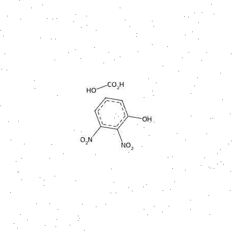 O=C(O)O.O=[N+]([O-])c1cccc(O)c1[N+](=O)[O-]